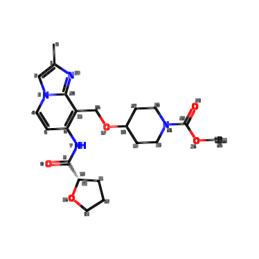 Cc1cn2ccc(NC(=O)[C@@H]3CCCO3)c(COC3CCN(C(=O)OC(C)(C)C)CC3)c2n1